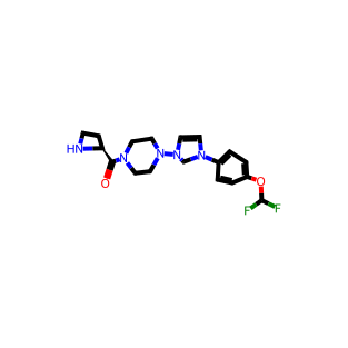 O=C([C@@H]1CCN1)N1CCN(N2C=CN(c3ccc(OC(F)F)cc3)C2)CC1